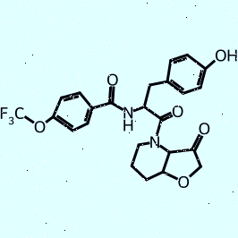 O=C(NC(Cc1ccc(O)cc1)C(=O)N1CCCC2OCC(=O)C21)c1ccc(OC(F)(F)F)cc1